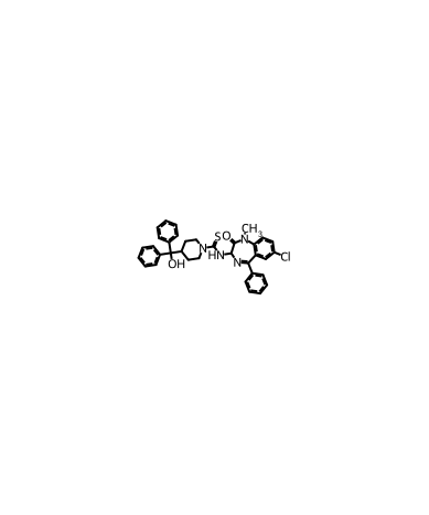 CN1C(=O)C(NC(=S)N2CCC(C(O)(c3ccccc3)c3ccccc3)CC2)N=C(c2ccccc2)c2cc(Cl)ccc21